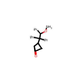 CC(C)C(O[SiH3])C(C(C)C)(C(C)C)C1CC(=O)C1